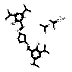 CC(=O)[O-].CC(=O)[O-].CC(C)c1cc(C=NC2CCC(N=Cc3cc(C(C)C)cc(C(C)C)c3O)C2)c(O)c(C(C)C)c1.[Co+2]